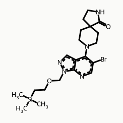 C[Si](C)(C)CCOCn1ncc2c(N3CCC4(CCNC4=O)CC3)c(Br)cnc21